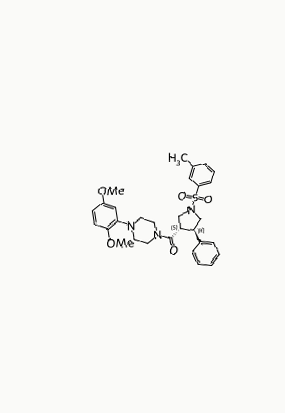 COc1ccc(OC)c(N2CCN(C(=O)[C@@H]3CN(S(=O)(=O)c4cccc(C)c4)C[C@H]3c3ccccc3)CC2)c1